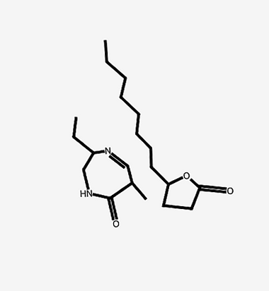 CCC1CNC(=O)C(C)C=N1.CCCCCCCCC1CCC(=O)O1